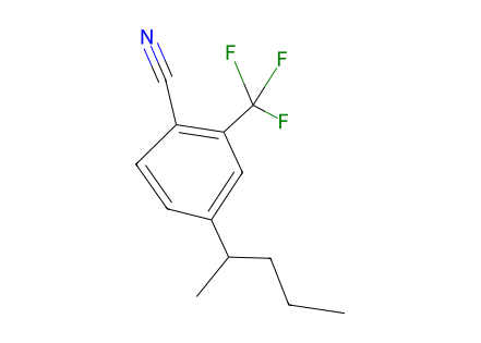 CCCC(C)c1ccc(C#N)c(C(F)(F)F)c1